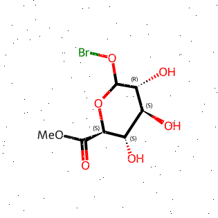 COC(=O)[C@H]1OC(OBr)[C@H](O)[C@@H](O)[C@@H]1O